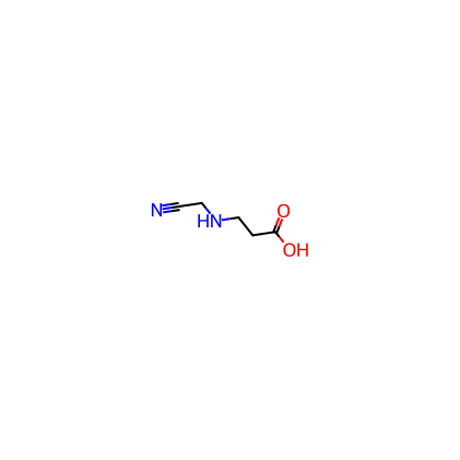 N#CCNCCC(=O)O